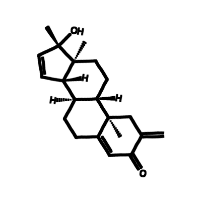 C=C1C[C@@]2(C)C(=CC1=O)CC[C@@H]1[C@@H]2CC[C@@]2(C)[C@H]1C=C[C@]2(C)O